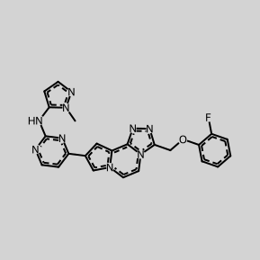 Cn1nccc1Nc1nccc(-c2cc3c4nnc(COc5ccccc5F)n4ccn3c2)n1